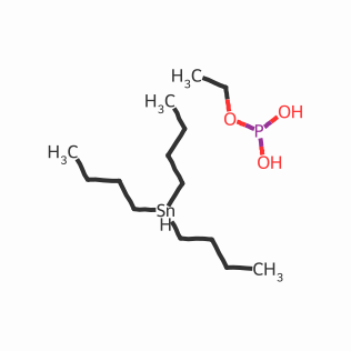 CCC[CH2][SnH]([CH2]CCC)[CH2]CCC.CCOP(O)O